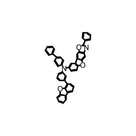 c1ccc(-c2ccc(N(c3cccc(-c4cccc5c4oc4ccccc45)c3)c3ccc4oc5cc6nc(-c7ccccc7)oc6cc5c4c3)cc2)cc1